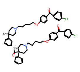 CC(=O)C1(c2ccccc2)CCN(CCCCCOc2ccc(C(=O)c3ccc(Cl)cc3)cc2)CC1.CCCC(=O)C1(c2ccccc2)CCN(CCCCCOc2ccc(C(=O)c3ccc(Cl)cc3)cc2)CC1